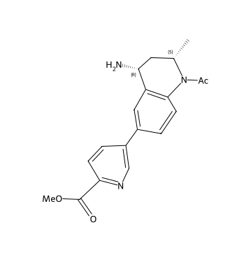 COC(=O)c1ccc(-c2ccc3c(c2)[C@H](N)C[C@H](C)N3C(C)=O)cn1